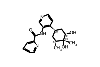 C[C@H]1C[C@@H](c2ccncc2NC(=O)c2ccccn2)C[C@@H](O)[C@]1(C)O